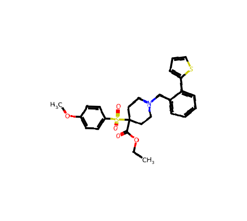 CCOC(=O)C1(S(=O)(=O)c2ccc(OC)cc2)CCN(Cc2ccccc2-c2cccs2)CC1